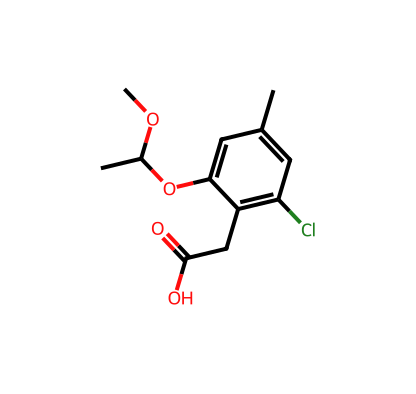 COC(C)Oc1cc(C)cc(Cl)c1CC(=O)O